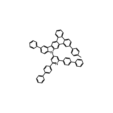 Cc1ccc(-c2ccc3c4ccccc4c4cc5c6cc(-c7ccccc7)ccc6n(-c6cc(-c7ccc(-c8ccccc8)cc7)nc(-c7ccc(-c8ccccc8)cc7)c6)c5cc4c3c2)cc1